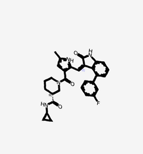 Cc1cc(C(=O)N2CCC[C@@H](C(=O)NC3CC3)C2)c(/C=C2\C(=O)Nc3cccc(-c4cccc(F)c4)c32)[nH]1